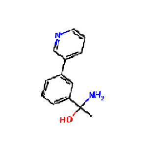 CC(N)(O)c1cccc(-c2cccnc2)c1